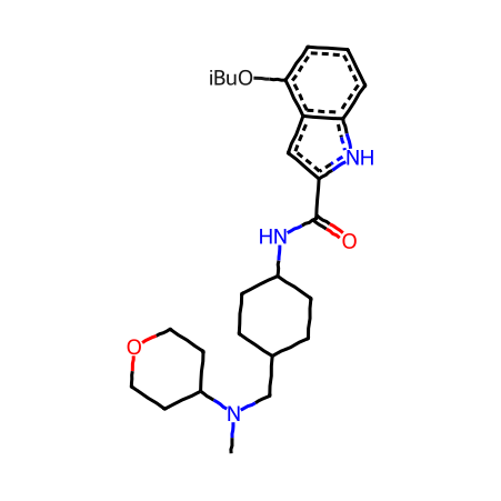 CC(C)COc1cccc2[nH]c(C(=O)NC3CCC(CN(C)C4CCOCC4)CC3)cc12